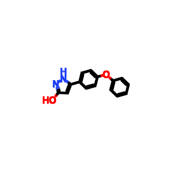 Oc1cc(-c2ccc(Oc3ccccc3)cc2)[nH]n1